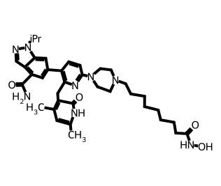 Cc1cc(C)c(Cc2nc(N3CCN(CCCCCCCCC(=O)NO)CC3)ccc2-c2cc(C(N)=O)c3cnn(C(C)C)c3c2)c(=O)[nH]1